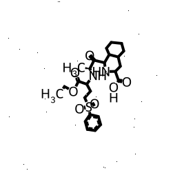 CCOC(=O)C(CCS(=O)(=O)c1ccccc1)N[C@@H](C)C(=O)C1NC(C(=O)O)CC2CCCCC21